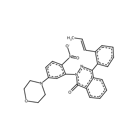 CC=Cc1ccccc1-c1nn(-c2cc(N3CCOCC3)ccc2[N+](=O)[O-])c(=O)c2ccccc12